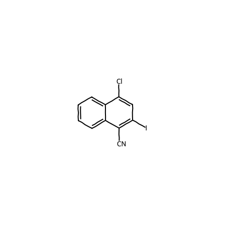 N#Cc1c(I)cc(Cl)c2ccccc12